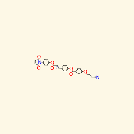 N#CCCCOc1ccc(C(=O)Oc2ccc(/C=C/C(=O)Oc3ccc(N4C(=O)C=CC4=O)cc3)cc2)cc1